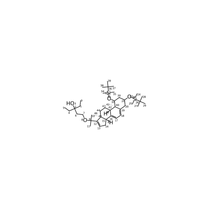 CCC(O)(CC)CCOC(C)(C)C1=CC[C@H]2C3=CC=C4CC(O[Si](C)(C)C(C)(C)C)CC(O[Si](C)(C)C(C)(C)C)[C@]4(C)[C@H]3CC[C@]12C